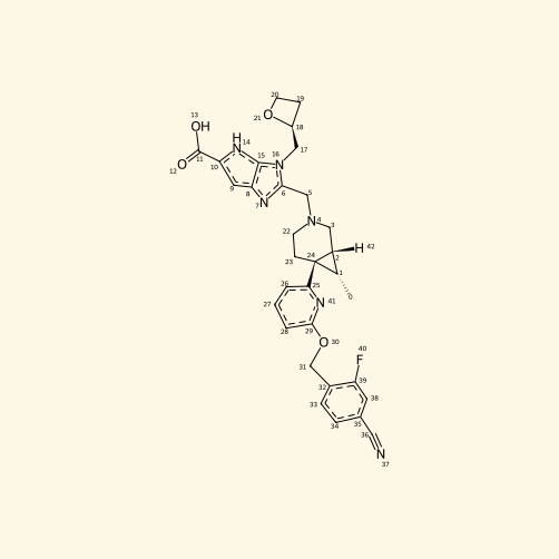 C[C@H]1[C@H]2CN(Cc3nc4cc(C(=O)O)[nH]c4n3C[C@@H]3CCO3)CC[C@]21c1cccc(OCc2ccc(C#N)cc2F)n1